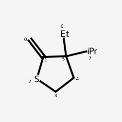 C=C1SCCC1(CC)C(C)C